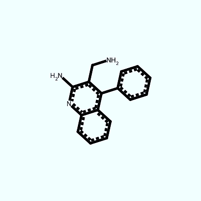 NCc1c(N)nc2ccccc2c1-c1ccccc1